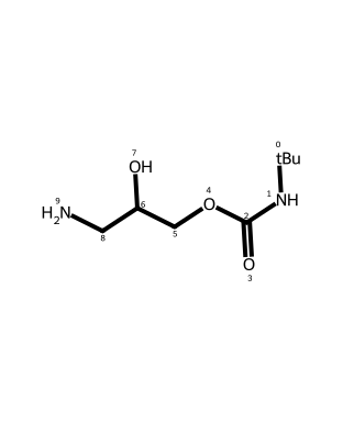 CC(C)(C)NC(=O)OCC(O)CN